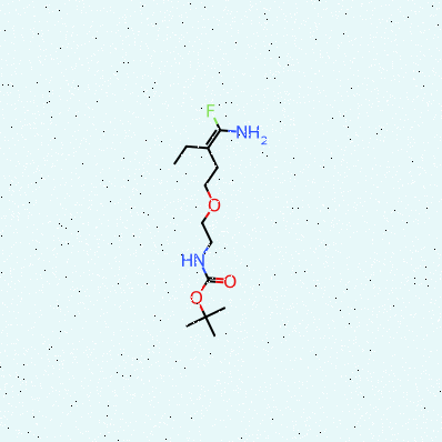 CC/C(CCOCCNC(=O)OC(C)(C)C)=C(/N)F